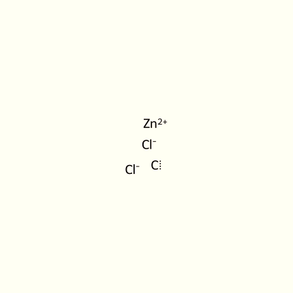 [C].[Cl-].[Cl-].[Zn+2]